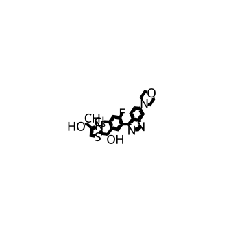 CC(O)c1csc(C(O)c2cc(-c3ncnc4cc(N5CCOCC5)ccc34)c(F)cc2Cl)n1